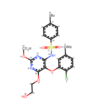 COc1ccc(Cl)c(Oc2c(NS(=O)(=O)c3ccc(C(C)(C)C)cc3)nc(OC(=O)O)nc2OCCO)c1